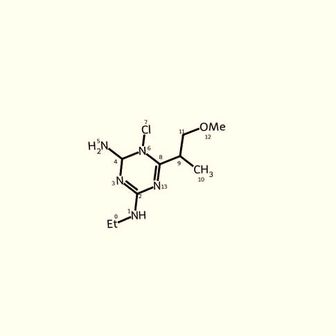 CCNC1=NC(N)N(Cl)C(C(C)COC)=N1